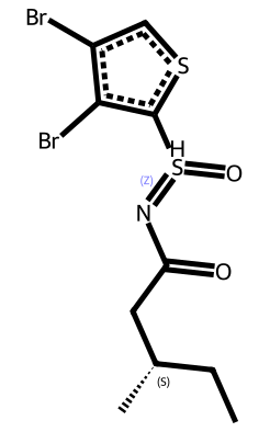 CC[C@H](C)CC(=O)/N=[SH](=O)/c1scc(Br)c1Br